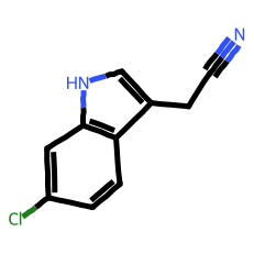 N#CCc1c[nH]c2cc(Cl)ccc12